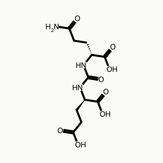 NC(=O)CC[C@@H](NC(=O)N[C@H](CCC(=O)O)C(=O)O)C(=O)O